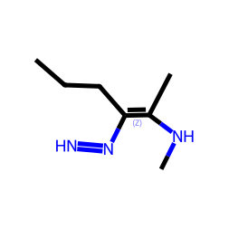 CCC/C(N=N)=C(\C)NC